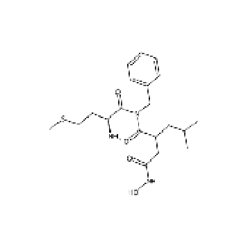 CSCC[C@H](N)C(=O)N(Cc1ccccc1)C(=O)C(CC(=O)NO)CC(C)C